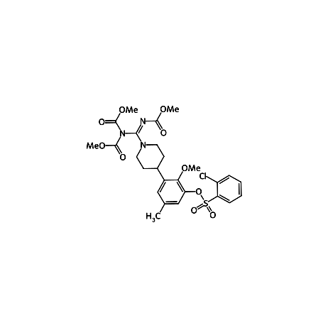 COC(=O)N=C(N1CCC(c2cc(C)cc(OS(=O)(=O)c3ccccc3Cl)c2OC)CC1)N(C(=O)OC)C(=O)OC